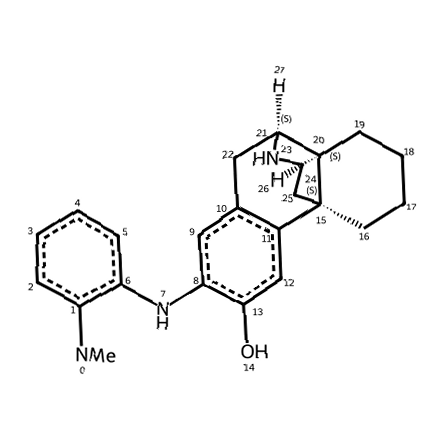 CNc1ccccc1Nc1cc2c(cc1O)[C@]13CCCC[C@@H]1[C@H](C2)NCC3